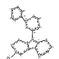 Brc1ccc2c(c1)c1ncccc1n2-c1cccc(-c2ccccc2)c1